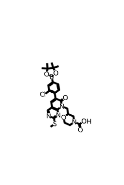 CSc1ncc2cc(-c3ccc(B4OC(C)(C)C(C)(C)O4)cc3Cl)c(=O)n(CC3CN(C(=O)O)CCO3)c2n1